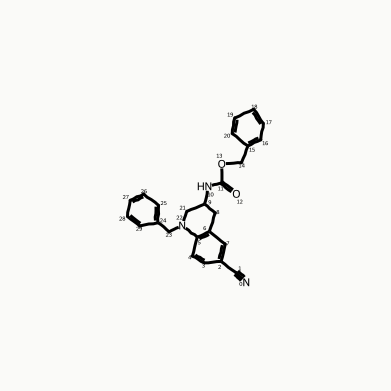 N#Cc1ccc2c(c1)CC(NC(=O)OCc1ccccc1)CN2Cc1ccccc1